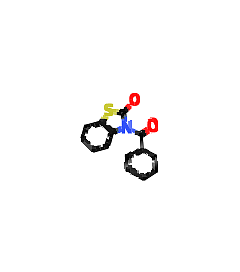 O=C(c1ccccc1)n1c(=O)sc2ccccc21